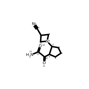 N#CC1CN(C2CCCC2C(=O)C(N)=O)C1